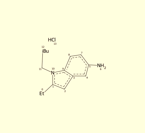 CCc1cc2cc(N)ccc2n1CC(C)CC.Cl